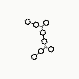 c1ccc(-c2ccc(N(c3ccccc3)c3ccc(-c4ccc(N(c5ccccc5)c5ccc(-c6ccccc6)cc5)cc4)cc3)cc2)cc1